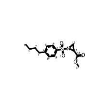 CCCCc1ccc(S(=O)(=O)N2CC2C(=O)OC)cc1